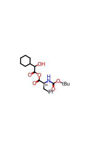 CC(C)C[C@H](NC(=O)OC(C)(C)C)C(=O)OC(=O)C(O)C1CCCCC1